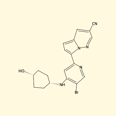 N#Cc1cnn2c(-c3cc(N[C@H]4CC[C@@H](O)CC4)c(Br)cn3)ccc2c1